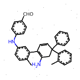 Cc1ccc(Nc2ccc(C=O)cc2)cc1C1=C(N)CC(c2ccccc2)(c2ccccc2C)C=C1